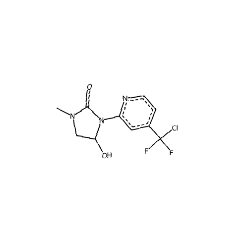 CN1CC(O)N(c2cc(C(F)(F)Cl)ccn2)C1=O